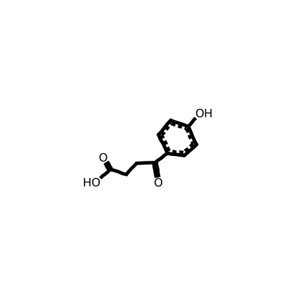 O=C(O)CCC(=O)c1ccc(O)cc1